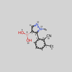 CCc1cccc(-c2c(B(O)O)cnn2C)c1C#N